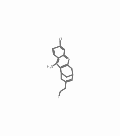 Nc1c2c(nc3cc(Cl)ccc13)CC1C=C(CCF)CC2C1